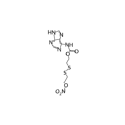 O=C(Nc1ncnc2[nH]cnc12)OCCSSCCO[N+](=O)[O-]